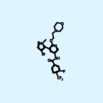 Cn1ncc(Br)c1-c1cc(NC(=O)c2ccc(C(F)(F)F)c(F)c2)cnc1OCCN1CCOCC1